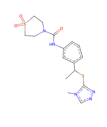 CC(Sc1nncn1C)c1cccc(NC(=O)N2CCS(=O)(=O)CC2)c1